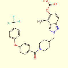 Cc1c(OC(=O)O)ccc2nn(CC3CCN(C(=O)c4ccc(Oc5ccc(C(F)(F)F)cc5)cc4)CC3)cc12